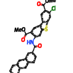 COC(=O)c1cc2c(cc1Cl)sc1cc(NC(=O)c3ccc4cc5ccccc5cc4c3)c(C(=O)OC)cc12